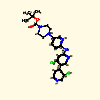 CC(C)(C)OC(=O)N1CCN(c2ccc(Nc3cc(Cl)c(-c4ccncc4Cl)cn3)nc2)CC1